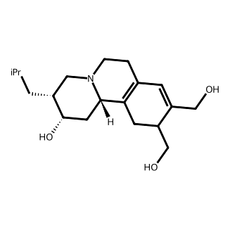 CC(C)C[C@@H]1CN2CCC3=C(CC(CO)C(CO)=C3)[C@@H]2C[C@@H]1O